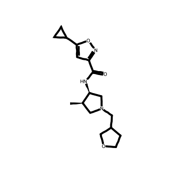 C[C@@H]1CN(CC2CCOC2)C[C@@H]1NC(=O)c1cc(C2CC2)on1